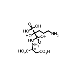 NCCCC(O)(P(=O)(O)O)P(=O)(O)O.N[C@@H](CC(=O)O)C(=O)O